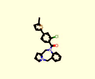 Cc1ccc(-c2ccc(C(=O)N3Cc4cccn4Cc4ccccc43)c(Cl)c2)s1